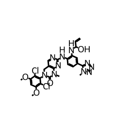 C=CC(O)Nc1cc(-c2nnnn2C)ccc1Nc1ncc2c(n1)N(C)C(=O)N(c1c(Cl)c(OC)cc(OC)c1Cl)C2